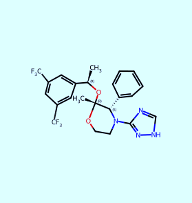 C[C@@H](O[C@@]1(C)OCCN(c2nc[nH]n2)[C@H]1c1ccccc1)c1cc(C(F)(F)F)cc(C(F)(F)F)c1